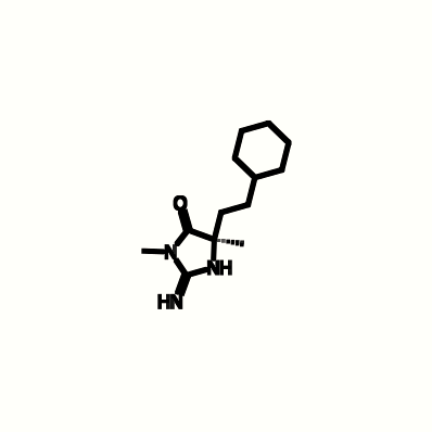 CN1C(=N)N[C@](C)(CCC2CCCCC2)C1=O